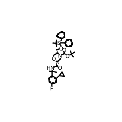 CC(C)(C)OC(=O)N1C[C@@H](C(=O)NC(C)(C)c2ccc(F)cc2C2CC2)OC[C@H]1CO[Si](c1ccccc1)(c1ccccc1)C(C)(C)C